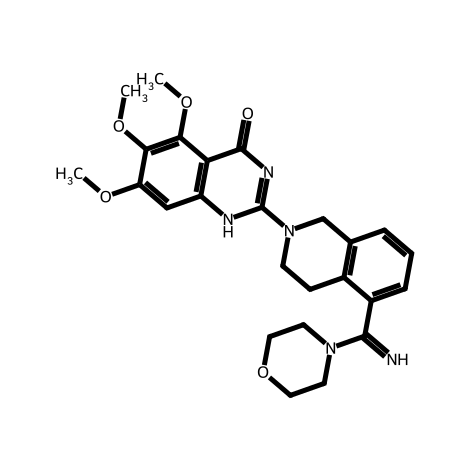 COc1cc2[nH]c(N3CCc4c(cccc4C(=N)N4CCOCC4)C3)nc(=O)c2c(OC)c1OC